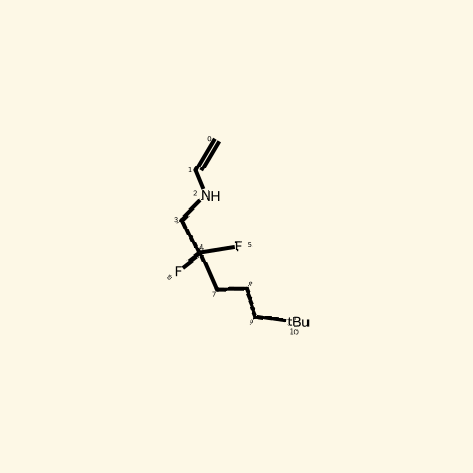 C=CNCC(F)(F)CCCC(C)(C)C